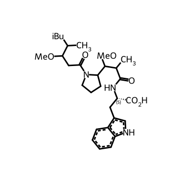 CCC(C)C(C)C(CC(=O)N1CCCC1C(OC)C(C)C(=O)N[C@@H](Cc1c[nH]c2ccccc12)C(=O)O)OC